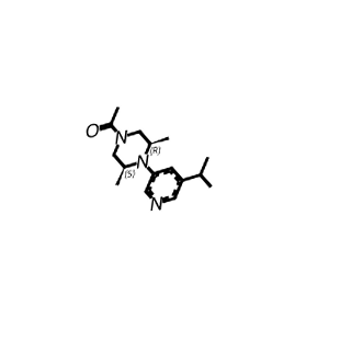 CC(=O)N1C[C@@H](C)N(c2cncc(C(C)C)c2)[C@@H](C)C1